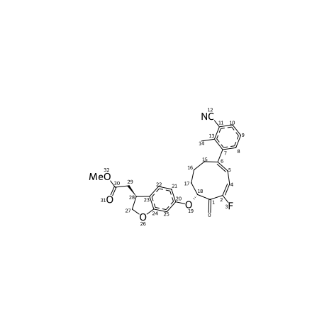 C=C1/C(F)=C\C=C(\c2cccc(C#N)c2C)CCC[C@H]1Oc1ccc2c(c1)OC[C@H]2CC(=O)OC